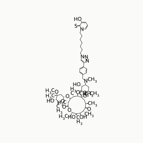 CC[C@H]1OC(=O)[C@H](C)[C@@H](O[C@H]2C[C@@](C)(OC)[C@@H](O)[C@H](C)O2)[C@H](C)[C@@H](O[C@@H]2O[C@H](C)C[C@H](N(C)Cc3ccc(-c4cn(CCCCCCCn5cccc(O)c5=S)nn4)cc3)[C@H]2O)[C@](C)(OC)C[C@@H](C)C(=O)[C@H](C)[C@@H](O)[C@]1(C)O